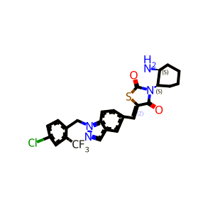 N[C@H]1CCCC[C@@H]1N1C(=O)S/C(=C\c2ccc3c(cnn3Cc3ccc(Cl)cc3C(F)(F)F)c2)C1=O